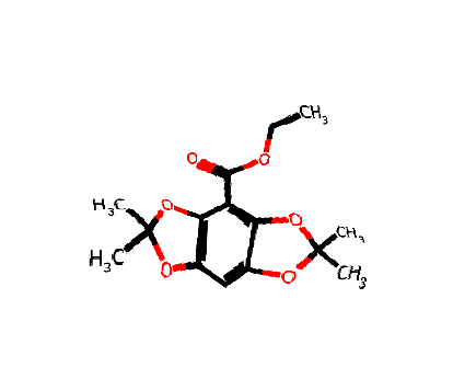 CCOC(=O)c1c2c(cc3c1OC(C)(C)O3)OC(C)(C)O2